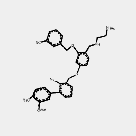 COc1ccc(-c2cccc(COc3ccc(CNCCNC(C)=O)c(OCc4cccc(C#N)c4)c3)c2C#N)cc1OC